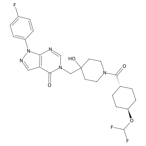 O=c1c2cnn(-c3ccc(F)cc3)c2ncn1CC1(O)CCN(C(=O)[C@H]2CC[C@H](OC(F)F)CC2)CC1